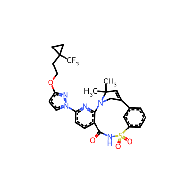 CC1(C)C=C2CN1c1nc(-n3ccc(OCCC4(C(F)(F)F)CC4)n3)ccc1C(=O)NS(=O)(=O)c1cccc2c1